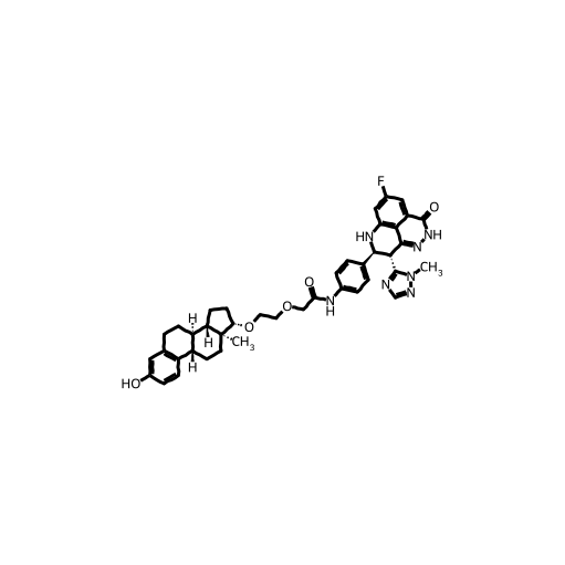 Cn1ncnc1[C@H]1c2n[nH]c(=O)c3cc(F)cc(c23)N[C@@H]1c1ccc(NC(=O)COCCO[C@H]2CC[C@H]3[C@@H]4CCc5cc(O)ccc5[C@H]4CC[C@]23C)cc1